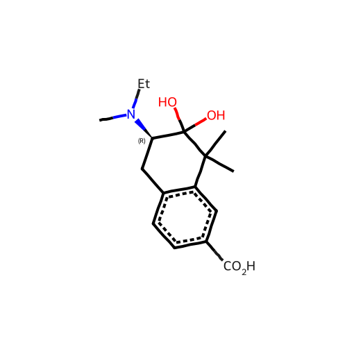 CCN(C)[C@@H]1Cc2ccc(C(=O)O)cc2C(C)(C)C1(O)O